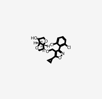 O[C@H]1CO[C@H]2[C@@H]1OC[C@H]2OCc1c(-c2c(Cl)cccc2Cl)noc1C1CC1